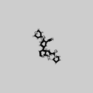 N#CC1CC(c2ccnc3[nH]c(C(=O)N4CCCC4)cc23)=CC=C1OC1CCOCC1